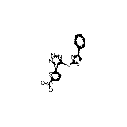 O=[N+]([O-])c1ccc(-n2nnnc2Sc2nc(-c3ccccc3)cs2)s1